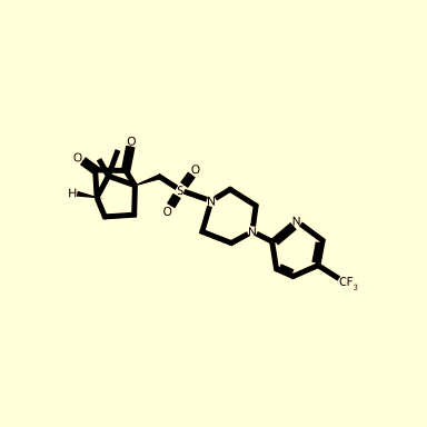 CC1(C)[C@@H]2CC[C@@]1(CS(=O)(=O)N1CCN(c3ccc(C(F)(F)F)cn3)CC1)C(=O)C2=O